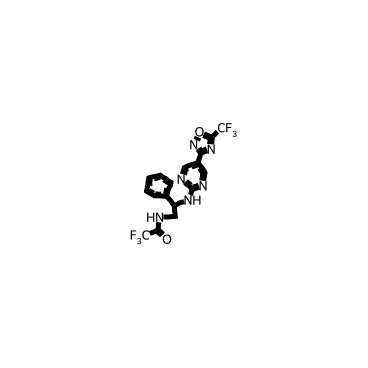 O=C(NCC(Nc1ncc(-c2noc(C(F)(F)F)n2)cn1)c1ccccc1)C(F)(F)F